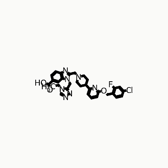 CCn1cnnc1Cn1c(CN2CCC(c3cccc(OCc4ccc(Cl)cc4F)n3)CC2)nc2ccc(C(=O)O)cc21